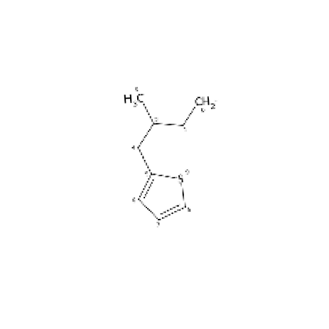 [CH2]CC(C)Cc1cccs1